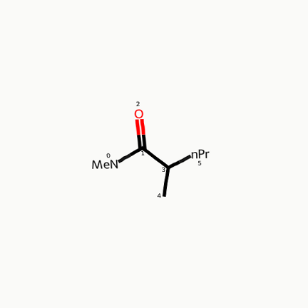 [CH2]NC(=O)C(C)CCC